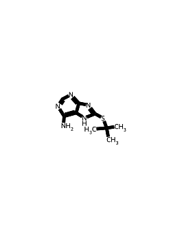 CC(C)(C)Sc1nc2ncnc(N)c2[nH]1